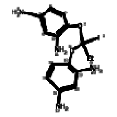 CCC(I)(Oc1ccc(N)cc1N)Oc1ccc(N)cc1N